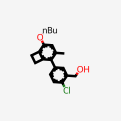 CCCCOc1cc(C)c(-c2ccc(Cl)c(CO)c2)c2c1CC2